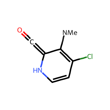 CNC1=C(Cl)C=CNC1=C=O